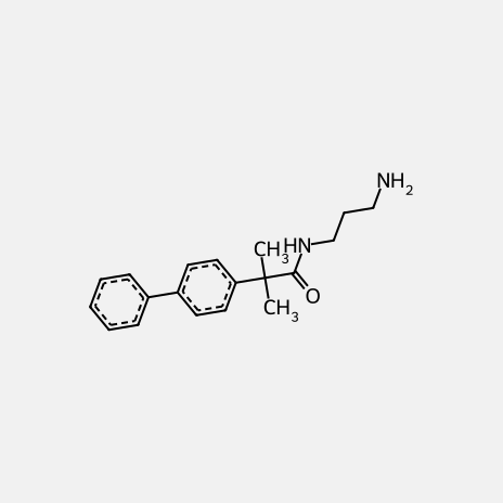 CC(C)(C(=O)NCCCN)c1ccc(-c2ccccc2)cc1